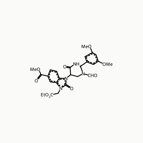 CCOC(=O)Cn1c(=O)n(C(CN(C=O)Cc2cc(OC)cc(OC)c2)C(N)=O)c2ccc(C(=O)OC)cc21